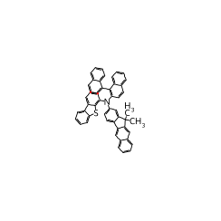 CC1(C)c2cc(N(c3ccc4ccccc4c3-c3cccc4ccccc34)c3cccc4c3sc3ccccc34)ccc2-c2cc3ccccc3cc21